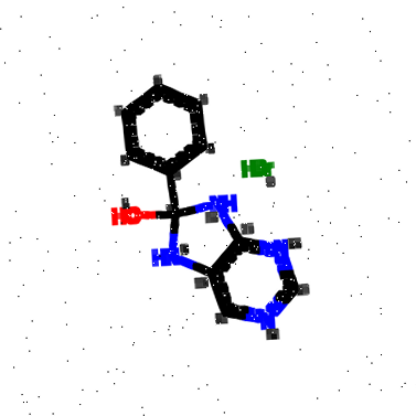 Br.OC1(c2ccccc2)Nc2cncnc2N1